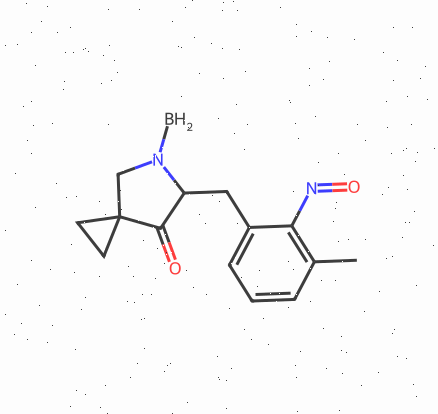 BN1CC2(CC2)C(=O)C1Cc1cccc(C)c1N=O